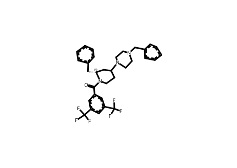 O=C(c1cc(C(F)(F)F)cc(C(F)(F)F)c1)N1CCC(N2CCN(Cc3ccccc3)CC2)C[C@H]1Cc1ccccc1